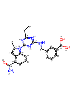 CCc1nc(NCc2cccc(B(O)O)c2)nc(-n2c(C)cc3c(C(N)=O)cccc32)n1